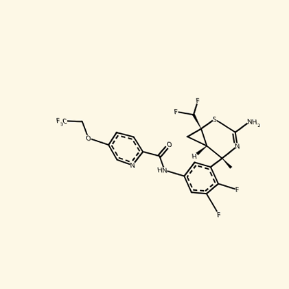 C[C@]1(c2cc(NC(=O)c3ccc(OCC(F)(F)F)cn3)cc(F)c2F)N=C(N)S[C@@]2(C(F)F)C[C@@H]12